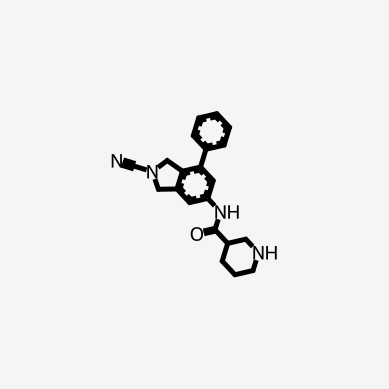 N#CN1Cc2cc(NC(=O)C3CCCNC3)cc(-c3ccccc3)c2C1